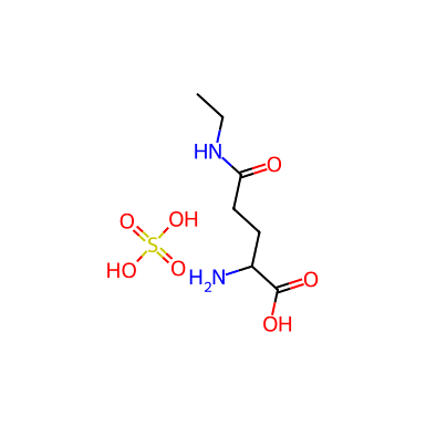 CCNC(=O)CCC(N)C(=O)O.O=S(=O)(O)O